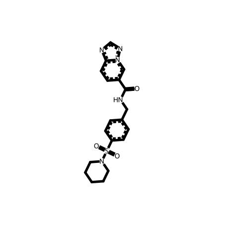 O=C(NCc1ccc(S(=O)(=O)N2CCCCC2)cc1)c1ccc2ncnn2c1